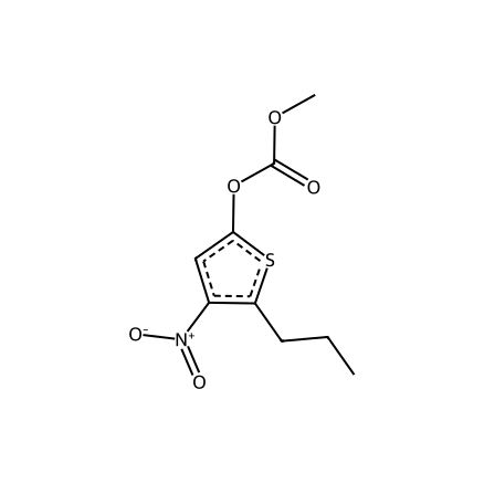 CCCc1sc(OC(=O)OC)cc1[N+](=O)[O-]